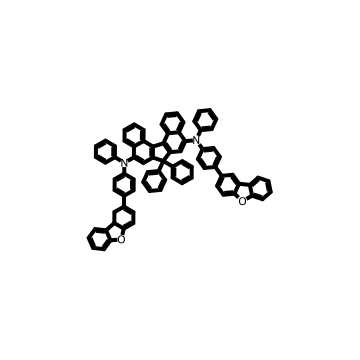 C1=C(c2ccc(N(c3ccccc3)c3cc4c(c5ccccc35)-c3c(cc(N(c5ccccc5)c5ccc(-c6ccc7oc8ccccc8c7c6)cc5)c5ccccc35)C4(c3ccccc3)c3ccccc3)cc2)CC2C(=C1)Oc1ccccc12